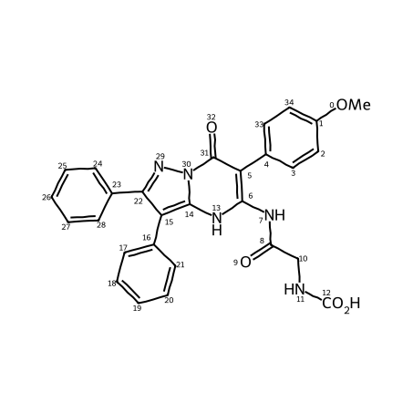 COc1ccc(-c2c(NC(=O)CNC(=O)O)[nH]c3c(-c4ccccc4)c(-c4ccccc4)nn3c2=O)cc1